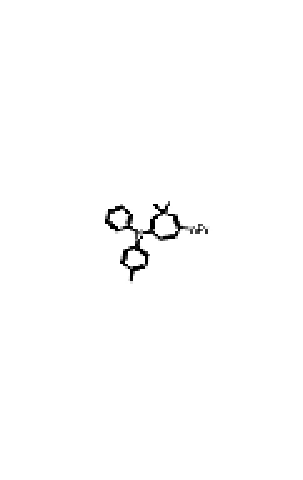 CCCC1=CC(C)(C)C=C(N(c2ccccc2)c2ccc(C)cc2)C=C1